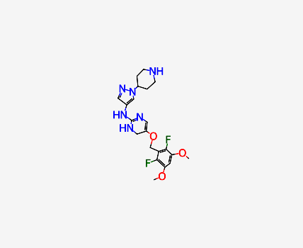 COc1cc(OC)c(F)c(COC2=CN=C(Nc3cnn(C4CCNCC4)c3)NC2)c1F